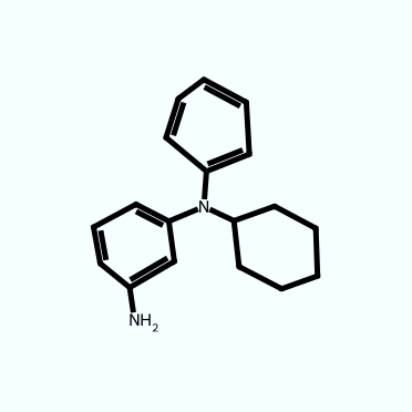 Nc1cccc(N(c2ccccc2)C2CCCCC2)c1